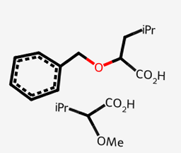 CC(C)CC(OCc1ccccc1)C(=O)O.COC(C(=O)O)C(C)C